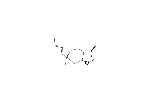 CCCCC1(C)CCC2C(C1)OC[C@@H]2C